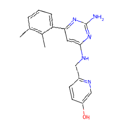 Cc1cccc(-c2cc(NCc3ccc(O)cn3)nc(N)n2)c1C